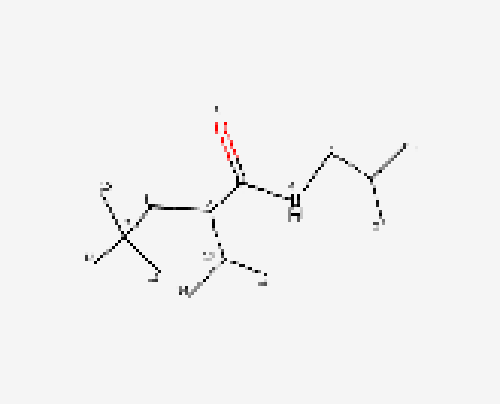 CC(C)CBC(=O)C(CC(C)(C)C)C(C)C